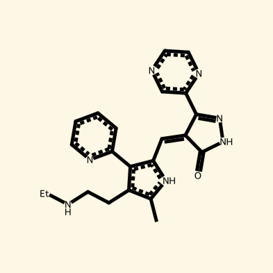 CCNCCc1c(C)[nH]c(C=C2C(=O)NN=C2c2cnccn2)c1-c1ccccn1